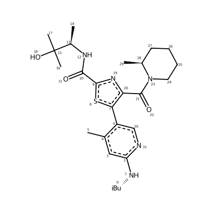 CC[C@@H](C)Nc1cc(C)c(-c2sc(C(=O)N[C@H](C)C(C)(C)O)nc2C(=O)N2CCCC[C@@H]2C)cn1